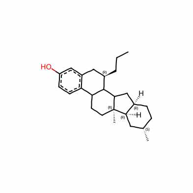 CCC[C@@H]1Cc2cc(O)ccc2C2CC[C@@]3(C)C(C[C@H]4CC[C@H](C)C[C@H]43)C21